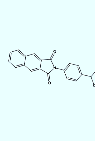 CC(C(=O)O)c1ccc(N2C(=O)c3cc4ccccc4cc3C2=O)cc1